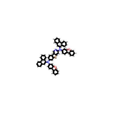 c1ccc2c(c1)cc(N(c1ccc3c(c1)oc1ccccc13)c1ccc3c(c1)sc1cc(N(c4ccc5c(c4)oc4ccccc45)c4cc5ccccc5c5ccccc45)ncc13)c1ccccc12